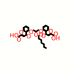 CCCCCCC(=O)OC(COc1cccc2oc(C(=O)O)cc(=O)c12)COc1cccc2oc(C(=O)O)cc(=O)c12